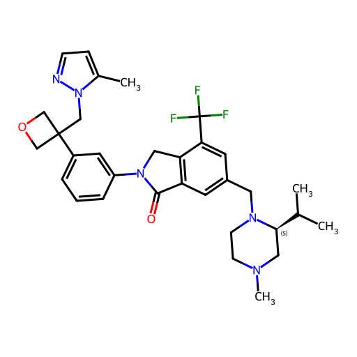 Cc1ccnn1CC1(c2cccc(N3Cc4c(cc(CN5CCN(C)C[C@@H]5C(C)C)cc4C(F)(F)F)C3=O)c2)COC1